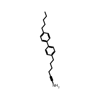 CCCCCc1ccc(-c2ccc(CCCCC#CN)cc2)cc1